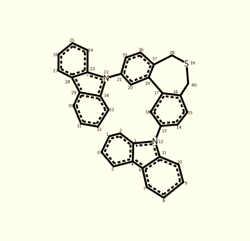 c1ccc2c(c1)c1ccccc1n2-c1ccc2c(c1)-c1cc(-n3c4ccccc4c4ccccc43)ccc1CSC2